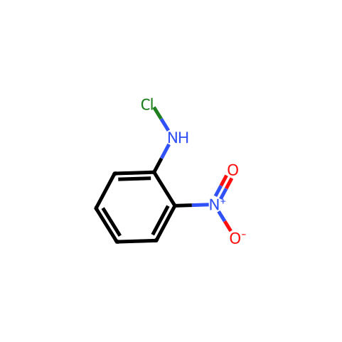 O=[N+]([O-])c1ccccc1NCl